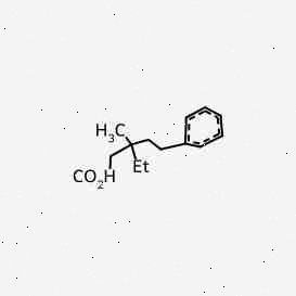 CCC(C)(CCc1ccccc1)CC(=O)O